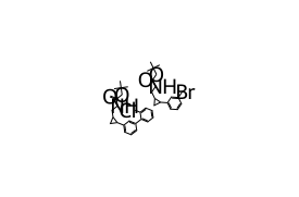 CC(C)(C)OC(=O)NCC1CC1c1cccc(-c2ccccc2Cl)c1.CC(C)(C)OC(=O)NCC1CC1c1cccc(Br)c1